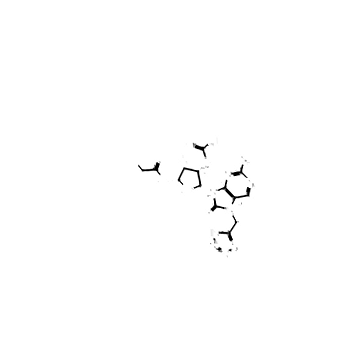 CCC(=O)O[C@H]1O[C@@H](n2c(=O)n(Cc3nnn[nH]3)c3cnc(N)nc32)[C@H](OC(C)=O)[C@H]1F